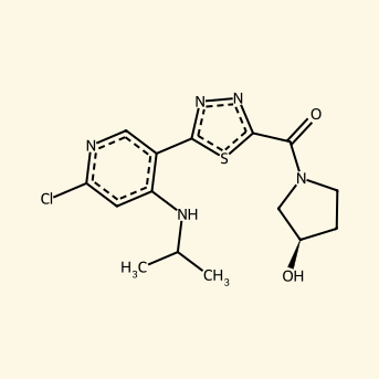 CC(C)Nc1cc(Cl)ncc1-c1nnc(C(=O)N2CC[C@@H](O)C2)s1